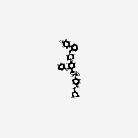 O=C(NS(=O)(=O)c1ccc(NCC2CCOCC2)cc1)c1ccc(N2CCN(Cc3ccccc3-c3ccc(Cl)cc3)CC2)cc1Oc1ccccc1